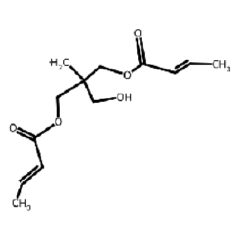 [CH2]C(CO)(COC(=O)C=CC)COC(=O)C=CC